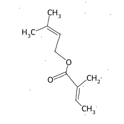 [CH2]/C(=C\C)C(=O)OCC=C(C)C